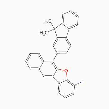 CC1(C)c2ccccc2-c2ccc(-c3c4ccccc4cc4c3oc3c(I)cccc34)cc21